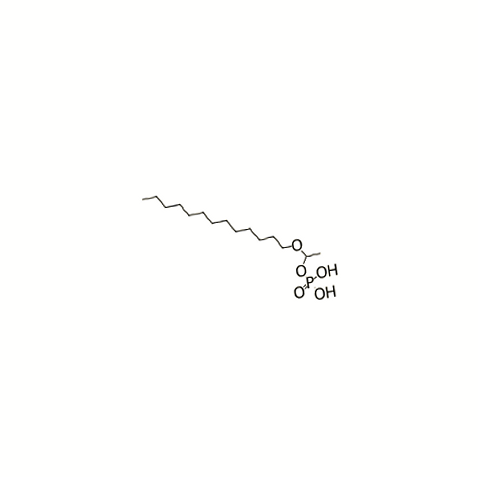 CCCCCCCCCCCCCOC(C)OP(=O)(O)O